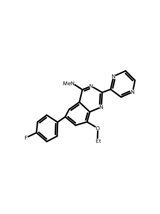 CCOc1cc(-c2ccc(F)cc2)cc2c(NC)nc(-c3cnccn3)nc12